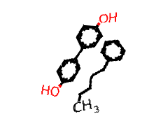 CCCCCc1ccccc1.Oc1ccc(-c2ccc(O)cc2)cc1